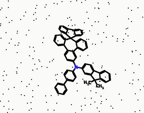 CC1(C)c2ccccc2-c2ccc(N(c3ccc(-c4ccccc4)cc3)c3ccc4c(c3)-c3ccccc3C3(c5ccccc5-4)c4ccccc4-c4ccccc43)cc21